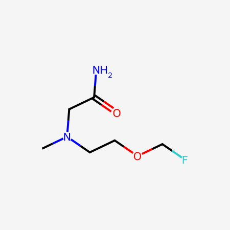 CN(CCOCF)CC(N)=O